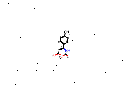 Cc1ccc(-c2cc(=O)oc(=O)[nH]2)cc1